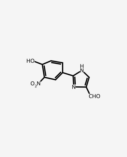 O=Cc1c[nH]c(-c2ccc(O)c([N+](=O)[O-])c2)n1